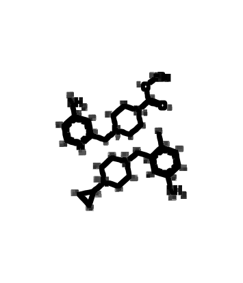 CC(C)(C)OC(=O)N1CCN(Cc2cc(N)ccn2)CC1.Cc1ccc(N)cc1CN1CCN(C2CC2)CC1